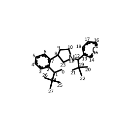 CC(c1ccccc1C1CCN(C(c2ccccc2)C(C)(C)C)C1)C(C)(C)C